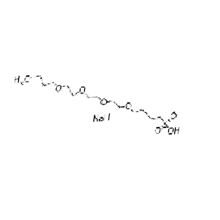 CCCCOCCOCCOCCOCCCCS(=O)(=O)O.[NaH]